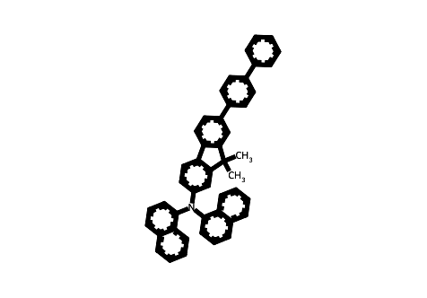 CC1(C)c2cc(-c3ccc(-c4ccccc4)cc3)ccc2-c2ccc(N(c3cccc4ccccc34)c3cccc4ccccc34)cc21